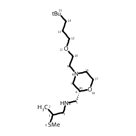 CSC(C)CNC[C@@H]1CN(CCOCCCC(C)(C)C)CCO1